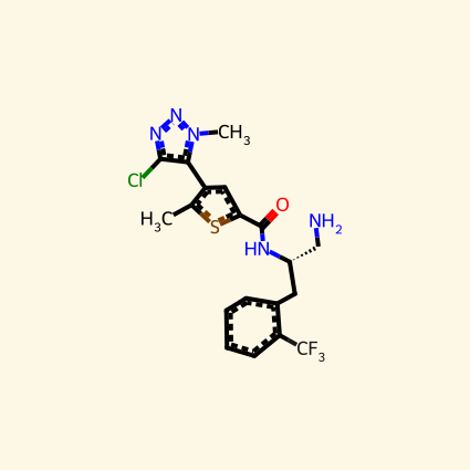 Cc1sc(C(=O)N[C@H](CN)Cc2ccccc2C(F)(F)F)cc1-c1c(Cl)nnn1C